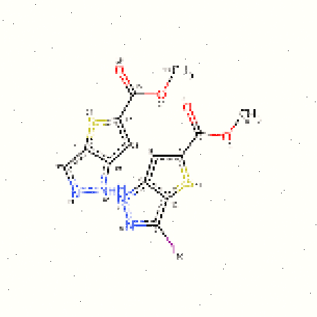 COC(=O)c1cc2[nH]nc(I)c2s1.COC(=O)c1cc2[nH]ncc2s1